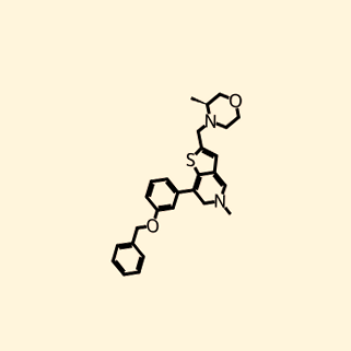 C[C@H]1COCCN1Cc1cc2c(s1)=C(c1cccc(OCc3ccccc3)c1)CN(C)C=2